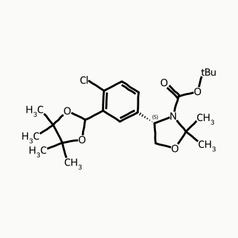 CC(C)(C)OC(=O)N1[C@@H](c2ccc(Cl)c(C3OC(C)(C)C(C)(C)O3)c2)COC1(C)C